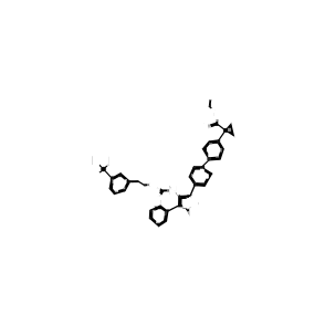 CCOC(=O)C1(c2ccc(-c3ccc(-c4onc(-c5ccccc5)c4NC(=O)OCCc4cccc(C(F)(F)F)c4)cc3)cc2)CC1